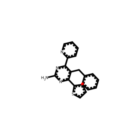 Nc1nc(-c2ccccn2)c(Cc2ccccc2)c(-c2cccs2)n1